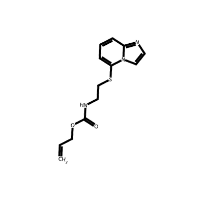 C=CCOC(=O)NCCSc1cccc2nccn12